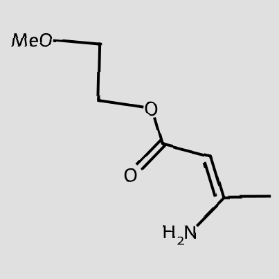 COCCOC(=O)/C=C(/C)N